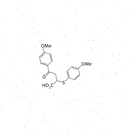 COc1ccc(SC(CC(=O)c2ccc(OC)cc2)C(=O)O)cc1